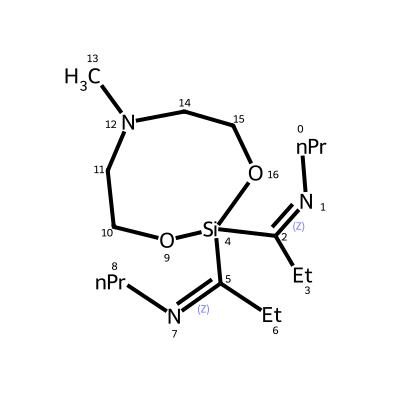 CCC/N=C(/CC)[Si]1(/C(CC)=N\CCC)OCCN(C)CCO1